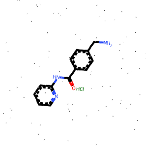 Cl.NCc1ccc(C(=O)Nc2ccccn2)cc1